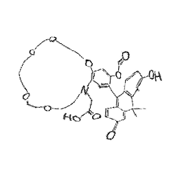 CC1(C)C2=CC(=O)C=CC2=C(c2cc3c(cc2OC=O)OCCOCCOCCOCCOCCN3CC(=O)O)c2ccc(O)cc21